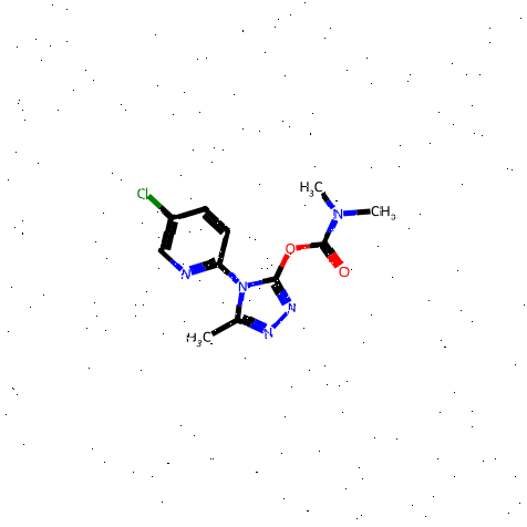 Cc1nnc(OC(=O)N(C)C)n1-c1ccc(Cl)cn1